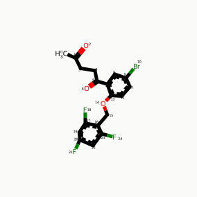 CC(=O)CCC(=O)c1cc(Br)ccc1OCc1c(F)cc(F)cc1F